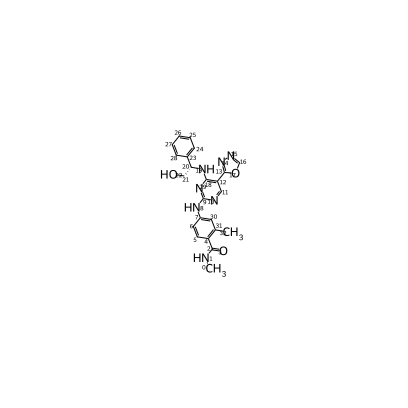 CNC(=O)c1ccc(Nc2ncc(-c3nnco3)c(N[C@H](CO)c3ccccc3)n2)cc1C